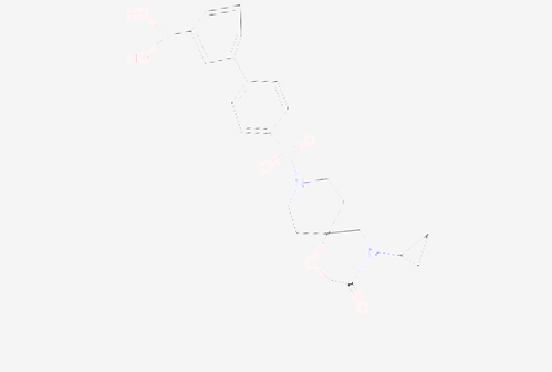 O=C1COC2(CCN(S(=O)(=O)c3ccc(-c4cccc(B(O)O)c4)cc3)CC2)CN1C1CC1